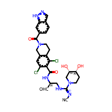 N#C/N=C(\NC[C@@H](C=O)NC(=O)c1c(Cl)cc2c(c1Cl)CCN(C(=O)c1ccc3cn[nH]c3c1)C2)N1CC[C@@H](O)[C@@H](O)C1